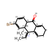 C/C=C1/C2=CCCC=C2C(=O)C2C=CC(Br)=C[C@]12C